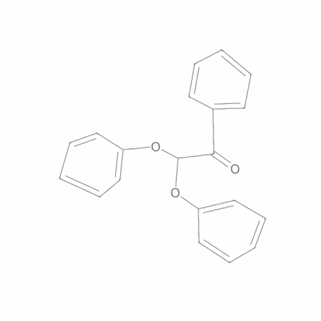 O=C(c1ccccc1)C(Oc1ccccc1)Oc1ccccc1